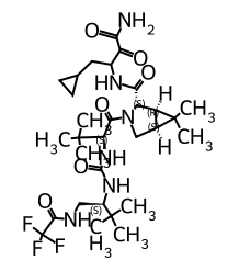 CC(C)(C)[C@H](NC(=O)N[C@H](CNC(=O)C(F)(F)F)C(C)(C)C)C(=O)N1C[C@H]2[C@@H]([C@H]1C(=O)NC(CC1CC1)C(=O)C(N)=O)C2(C)C